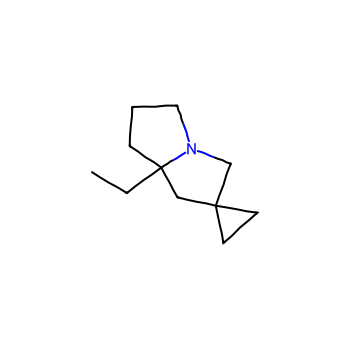 CCC12CCCN1CC1(CC1)C2